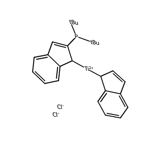 CC(C)(C)P(C1=Cc2ccccc2[CH]1[Ti+2][CH]1C=Cc2ccccc21)C(C)(C)C.[Cl-].[Cl-]